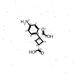 Nc1ccc([C@]2(C(=O)O)C[C@@H](C(=O)O)C2)cc1